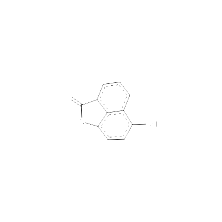 O=C1Nc2ccc(S)c3cccc1c23